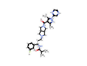 Cc1nn(-c2cnccn2)c(C)c1C(=O)N1CC2CN(CC[C@H](NC(=O)C(C)C)c3cccc(F)c3)CC2C1